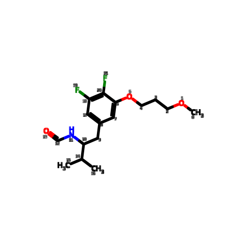 COCCCOc1cc(CC(NC=O)C(C)C)cc(F)c1F